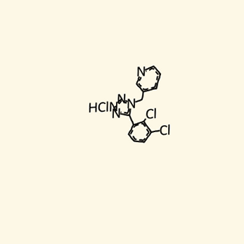 Cl.Clc1cccc(-c2nnnn2Cc2cccnc2)c1Cl